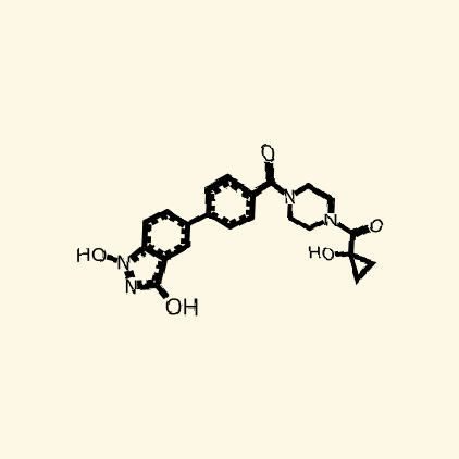 O=C(c1ccc(-c2ccc3c(c2)c(O)nn3O)cc1)N1CCN(C(=O)C2(O)CC2)CC1